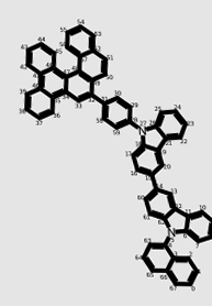 c1ccc2c(-n3c4ccccc4c4cc(-c5ccc6c(c5)c5ccccc5n6-c5ccc(-c6cc7c8ccccc8c8ccccc8c7c7c6ccc6ccccc67)cc5)ccc43)cccc2c1